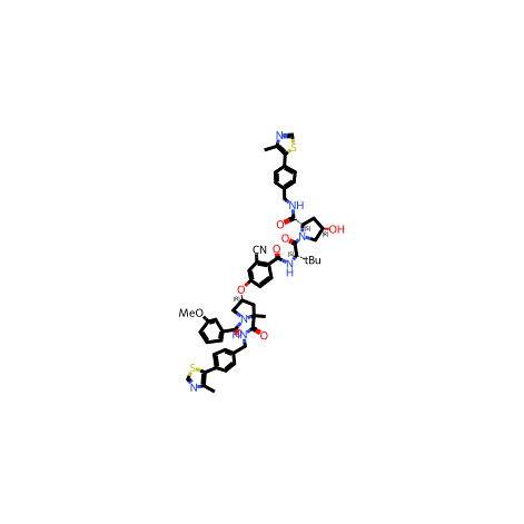 COc1cccc(C(=O)N2C[C@H](Oc3ccc(C(=O)N[C@H](C(=O)N4C[C@H](O)C[C@H]4C(=O)NCc4ccc(-c5scnc5C)cc4)C(C)(C)C)c(C#N)c3)CC2(C)C(=O)NCc2ccc(-c3scnc3C)cc2)c1